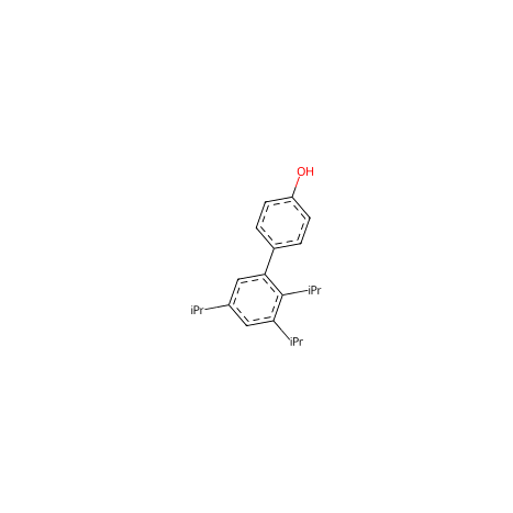 CC(C)c1cc(-c2ccc(O)cc2)c(C(C)C)c(C(C)C)c1